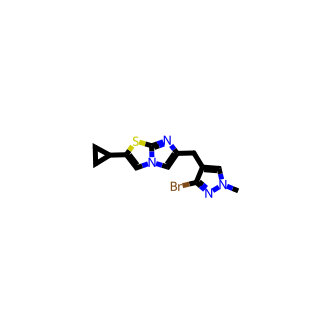 Cn1cc(Cc2cn3cc(C4CC4)sc3n2)c(Br)n1